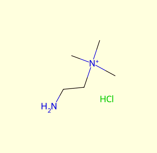 C[N+](C)(C)CCN.Cl